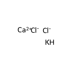 [Ca+2].[Cl-].[Cl-].[KH]